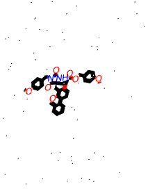 COc1ccc(COC(=O)[C@@H]2C[C@H]2[C@@]2(CC3=C4OC=c5ccccc5=C4CC=C3)NC(=O)N(Cc3ccc(OC)cc3)C2=O)cc1